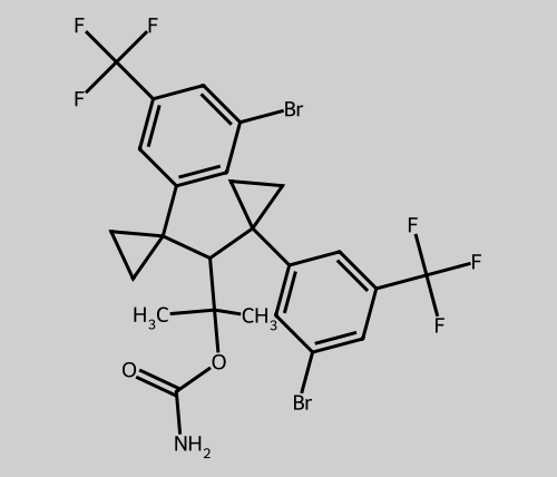 CC(C)(OC(N)=O)C(C1(c2cc(Br)cc(C(F)(F)F)c2)CC1)C1(c2cc(Br)cc(C(F)(F)F)c2)CC1